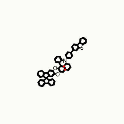 C1=CCC(N(c2ccc(-c3ccc4c(c3)sc3ccccc34)cc2)c2ccccc2-c2cccc3c2Oc2cc4c(cc2O3)C2(C3=C4CCC=C3)c3ccccc3-c3ccccc32)C=C1